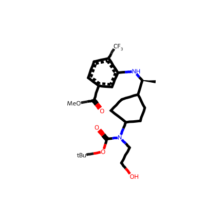 COC(=O)c1ccc(C(F)(F)F)c(N[C@@H](C)C2CCC(N(CCO)C(=O)OC(C)(C)C)CC2)c1